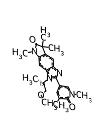 COC[C@H](C)n1c(-c2cc(C)c(=O)n(C)c2)nc2cc3c(cc21)N(C)C(=O)C3(C)C